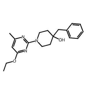 CCOc1cc(C)nc(N2CCC(O)(Cc3ccccc3)CC2)n1